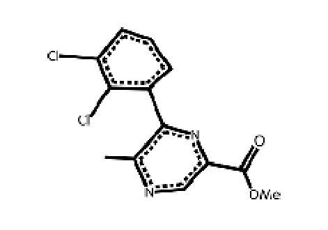 COC(=O)c1cnc(C)c(-c2cccc(Cl)c2Cl)n1